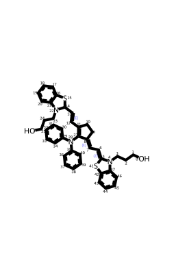 OCCCN1/C(=C/C=C2\CCC(/C=C/C3Sc4ccccc4N3CCCO)=C2N(c2ccccc2)c2ccccc2)Sc2ccccc21